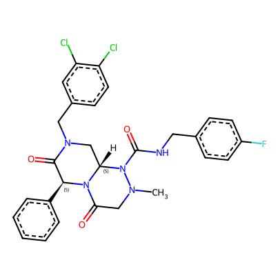 CN1CC(=O)N2[C@@H](c3ccccc3)C(=O)N(Cc3ccc(Cl)c(Cl)c3)C[C@@H]2N1C(=O)NCc1ccc(F)cc1